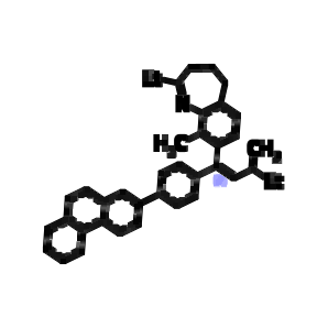 C=C(/C=C(/c1ccc(-c2ccc3c(ccc4ccccc43)c2)cc1)c1ccc2c(c1C)N=C(CC)C=CC2)CC